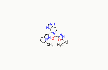 Cc1cccc2cc([C@@H]3c4nc[nH]c4CCN3C(=O)c3nnc(C4(C)CC4)o3)nn12